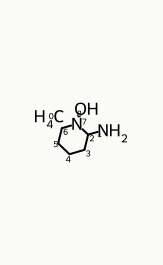 C.NC1CCCCN1O